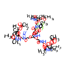 CC(=O)NC1[C@H](OCCNC(=O)CCOCC(COCCC(=O)NCCO[C@@H]2OC(COC(C)=O)[C@H](C)[C@H](C)C2NC(C)=O)(COCCC(=O)NCCO[C@@H]2OC(COC(C)=O)[C@H](C)[C@H](C)C2NC(C)=O)NC(=O)CC(=O)Oc2c(F)c(F)c(C)c(F)c2F)OC(COC(C)=O)[C@H](C)[C@@H]1C